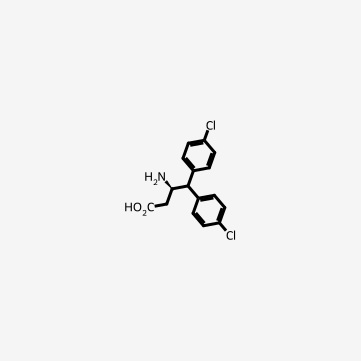 N[C@H](CC(=O)O)C(c1ccc(Cl)cc1)c1ccc(Cl)cc1